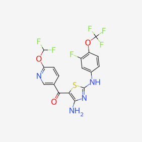 Nc1nc(Nc2ccc(OC(F)(F)F)c(F)c2)sc1C(=O)c1ccc(OC(F)F)nc1